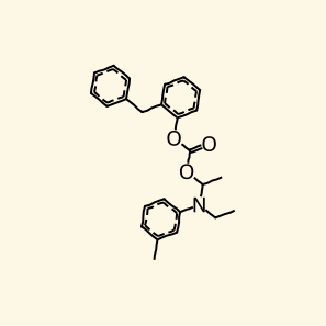 CCN(c1cccc(C)c1)C(C)OC(=O)Oc1ccccc1Cc1ccccc1